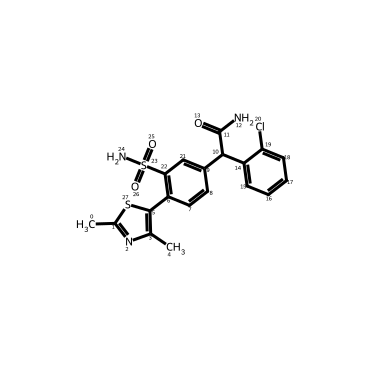 Cc1nc(C)c(-c2ccc(C(C(N)=O)c3ccccc3Cl)cc2S(N)(=O)=O)s1